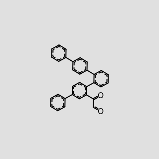 O=CC(=O)c1cc(-c2ccccc2)ccc1-c1ccccc1-c1ccc(-c2ccccc2)cc1